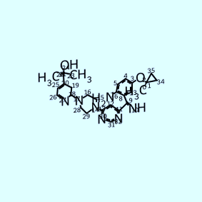 CC1(Oc2ccc(N)c(C(=N)c3cc(N4CCN(C5CC(C(C)(C)O)=CC=N5)CC4)ncn3)c2)CC1